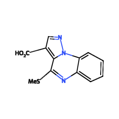 CSc1nc2ccccc2n2ncc(C(=O)O)c12